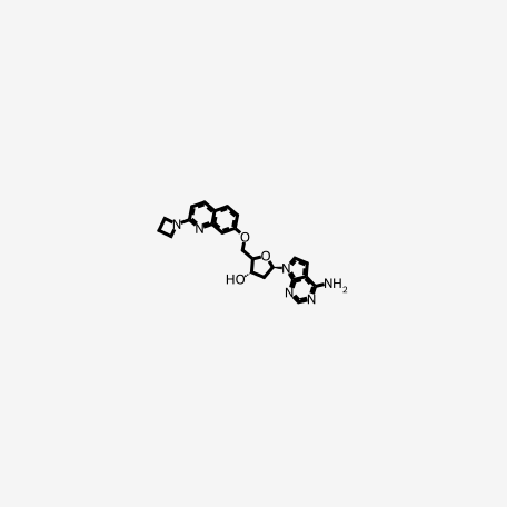 Nc1ncnc2c1ccn2[C@H]1C[C@H](O)C(COc2ccc3ccc(N4CCC4)nc3c2)O1